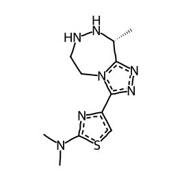 C[C@H]1NNCCn2c(-c3csc(N(C)C)n3)nnc21